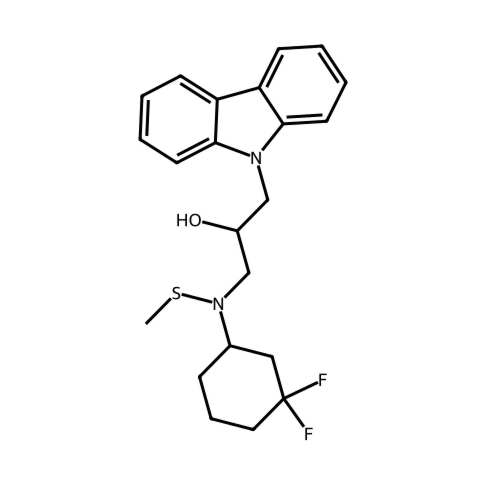 CSN(CC(O)Cn1c2ccccc2c2ccccc21)C1CCCC(F)(F)C1